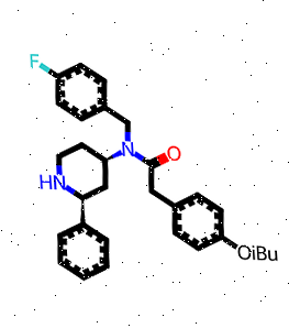 CC(C)COc1ccc(CC(=O)N(Cc2ccc(F)cc2)[C@@H]2CCN[C@H](c3ccccc3)C2)cc1